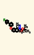 CC1c2cc(Oc3cccc(-c4ccc(F)cc4)c3)ccc2CCC1NC(=O)OC(C)(C)C